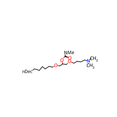 CCCCCCCCCCCCCCCCOCC(COCCCCN(C)C)OC(=O)NC